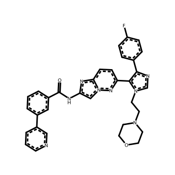 O=C(Nc1cn2nc(-c3c(-c4ccc(F)cc4)ncn3CCN3CCOCC3)ccc2n1)c1cccc(-c2cccnc2)c1